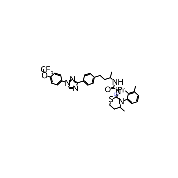 Cc1cccc(N2/C(=N/C(=O)NC(C)CCc3ccc(-c4ncn(-c5ccc(OC(F)(F)F)cc5)n4)cc3)SCCC2C)c1C(C)C